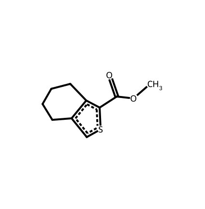 COC(=O)c1scc2c1CCCC2